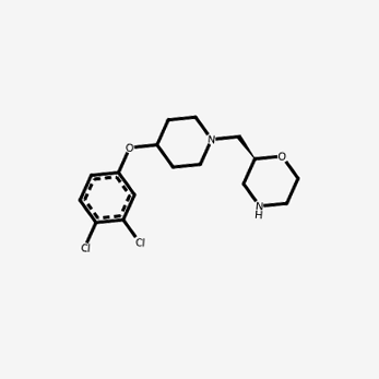 Clc1ccc(OC2CCN(C[C@@H]3CNCCO3)CC2)cc1Cl